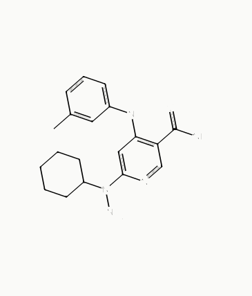 Cc1cccc(Nc2cc(N(N)C3CCCCC3)ncc2C(N)=O)c1